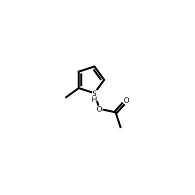 CC(=O)O[SH]1C=CC=C1C